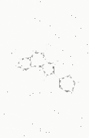 CCCn1ncc2c1nc(N)n1nc(-c3ccccc3)nc21